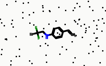 C=Cc1ccc(NCC(F)(F)CC)cc1